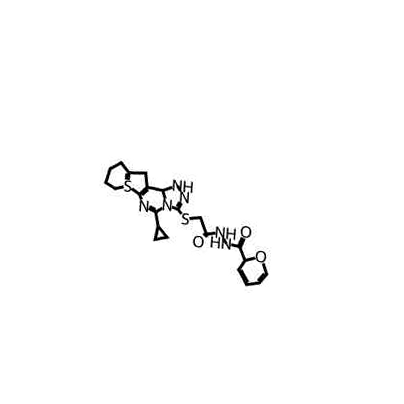 O=C(CSC1=NNC2C3=C(N=C(C4CC4)N12)S1=C(CCCC1)C3)NNC(=O)C1C=CC=CO1